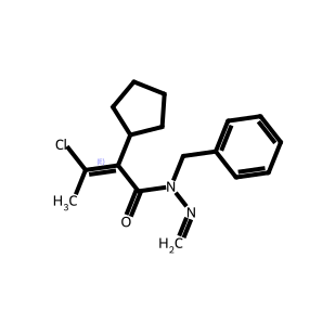 C=NN(Cc1ccccc1)C(=O)/C(=C(\C)Cl)C1CCCC1